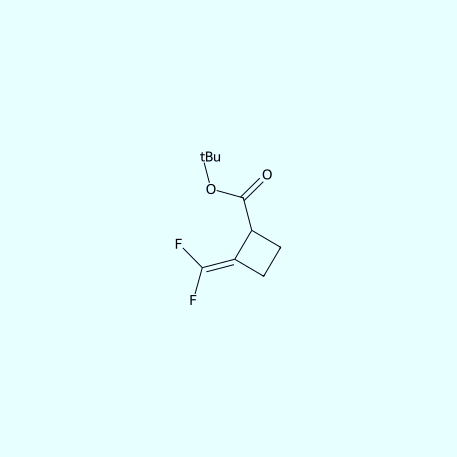 CC(C)(C)OC(=O)C1CCC1=C(F)F